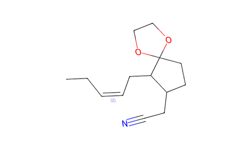 CC/C=C\CC1C(CC#N)CCC12OCCO2